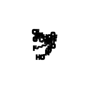 O=C(NCC(F)(F)F)c1ccc(-n2nnc(C(=O)N3CCN(CCO)CC3)c2CCCCCF)cc1.O=C(O)C(F)(F)F